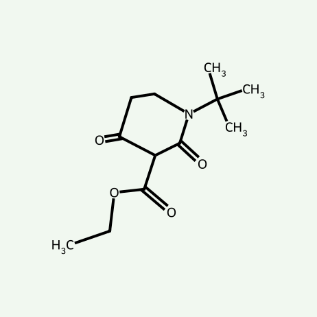 CCOC(=O)C1C(=O)CCN(C(C)(C)C)C1=O